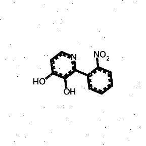 O=[N+]([O-])c1ccccc1-c1nccc(O)c1O